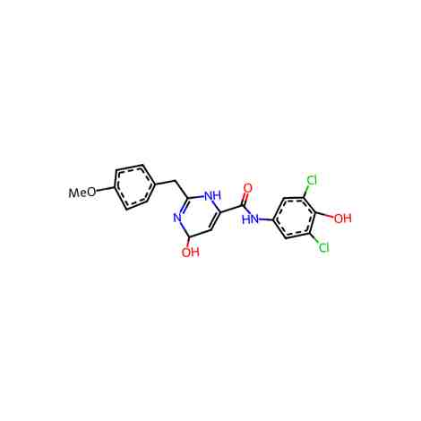 COc1ccc(CC2=NC(O)C=C(C(=O)Nc3cc(Cl)c(O)c(Cl)c3)N2)cc1